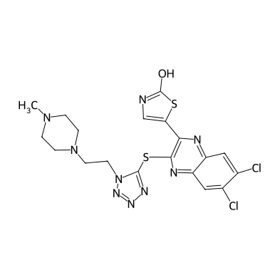 CN1CCN(CCn2nnnc2Sc2nc3cc(Cl)c(Cl)cc3nc2-c2cnc(O)s2)CC1